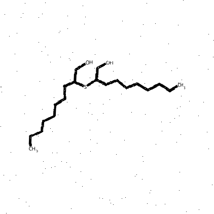 CCCCCCCCC(CO)SC(CO)CCCCCCCC